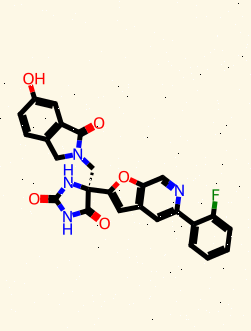 O=C1NC(=O)[C@](CN2Cc3ccc(O)cc3C2=O)(c2cc3cc(-c4ccccc4F)ncc3o2)N1